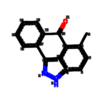 Cc1ccc2[nH]nc3c2c1C(=O)c1ccccc1-3